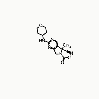 CC1(C#N)c2cnc(NC3CCOCC3)nc2CN1C(=O)Cl